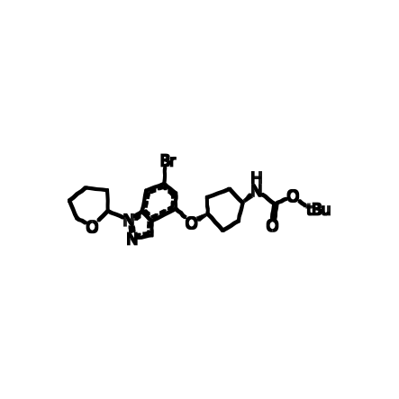 CC(C)(C)OC(=O)N[C@H]1CC[C@@H](Oc2cc(Br)cc3c2cnn3C2CCCCO2)CC1